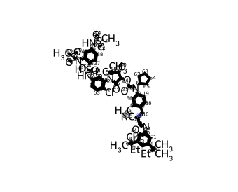 CCC(C)(C)c1cc(C(C)(C)CC)c2oc(/C(C#N)=C/c3ccc(N(C(=O)OC4C(=O)N(c5cc(NS(=O)(=O)c6ccc(NS(C)(=O)=O)cc6NS(C)(=O)=O)ccc5Cl)C(C)(C)C4=O)C4CCCC4)cc3C)nc2c1